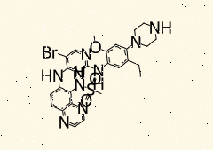 CCc1cc(Nc2ncc(Br)c(Nc3ccc4nccnc4c3NS(C)(=O)=O)n2)c(OC)cc1N1CCNCC1